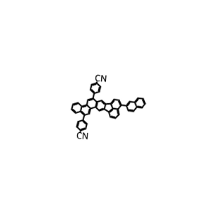 N#Cc1ccc(-c2cc3c4cc5c(cc4c(-c4ccc(C#N)cc4)cc3c3ccccc23)-c2ccc(-c3ccc4ccccc4c3)c3cccc-5c23)cc1